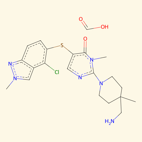 Cn1cc2c(Cl)c(Sc3cnc(N4CCC(C)(CN)CC4)n(C)c3=O)ccc2n1.O=CO